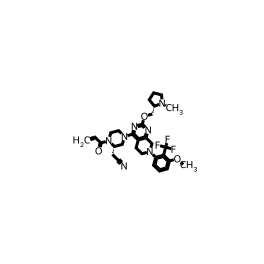 C=CC(=O)N1CCN(c2nc(OC[C@@H]3CCCN3C)nc3c2CCN(c2cccc(OC)c2C(F)(F)F)C3)C[C@@H]1CC#N